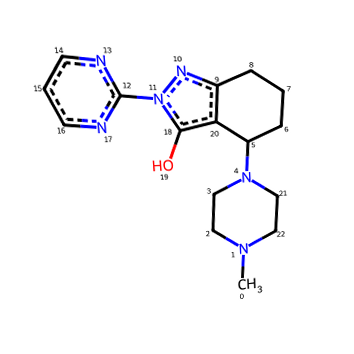 CN1CCN(C2CCCc3nn(-c4ncccn4)c(O)c32)CC1